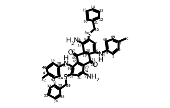 Cc1ccc(Nc2cc(SCc3ccccc3)c(N)c3c2C(=O)c2c(N)cc(SCc4ccccc4)c(Nc4ccc(C)cc4)c2C3=O)cc1